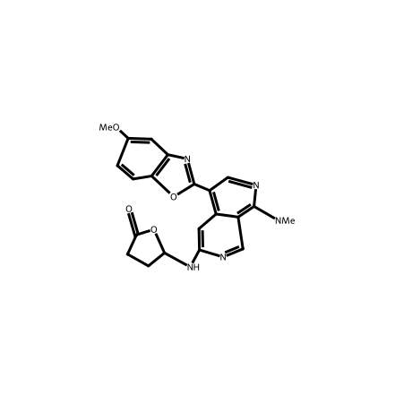 CNc1ncc(-c2nc3cc(OC)ccc3o2)c2cc(NC3CCC(=O)O3)ncc12